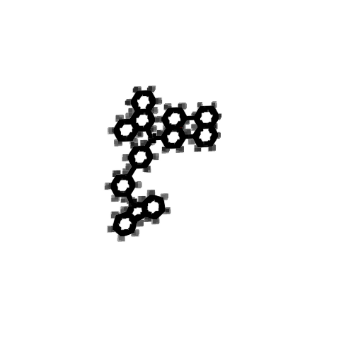 c1ccc(-c2cccc3cccc(-c4ccc(N(c5ccc(-c6cccc(-n7c8ccccc8c8ccccc87)c6)cc5)c5cc6ccccc6c6ccccc56)cc4)c23)cc1